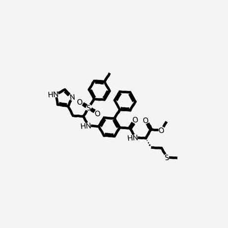 COC(=O)[C@H](CCSC)NC(=O)c1ccc(NC(Cc2c[nH]cn2)S(=O)(=O)c2ccc(C)cc2)cc1-c1ccccc1